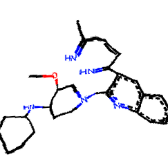 CO[C@H]1CN(c2nc3ccccc3cc2C(=N)/C=C\C(C)=N)CC[C@H]1NC1CCCCC1